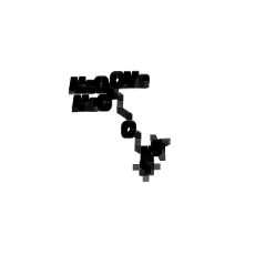 CO[Si](CCCOCCN([Si](C)(C)C)[Si](C)(C)C)(OC)OC